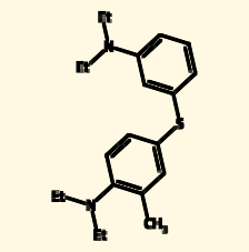 CCN(CC)c1cccc(Sc2ccc(N(CC)CC)c(C)c2)c1